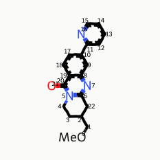 COCC1CCn2c(nc3cc(-c4ccccn4)ccc3c2=O)C1